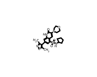 Cc1noc(C)c1-c1cc(S(=O)(=O)NC2CCCC2)c2cc(N3CCOCC3)c(=O)[nH]c2c1